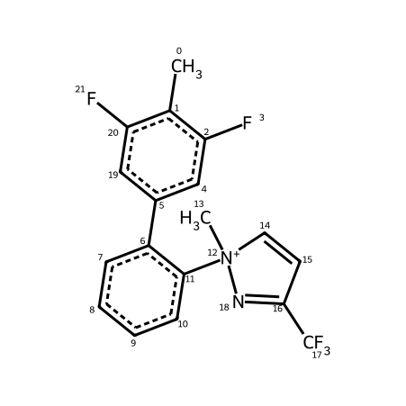 Cc1c(F)cc(-c2ccccc2[N+]2(C)C=CC(C(F)(F)F)=N2)cc1F